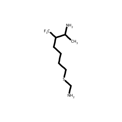 CC(N)C(CCCCSCN)C(F)(F)F